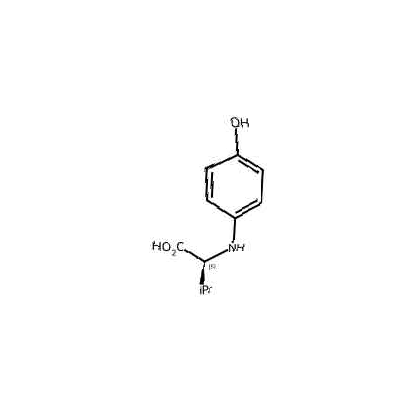 CC(C)[C@H](Nc1ccc(O)cc1)C(=O)O